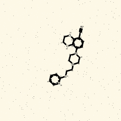 N#Cc1ccc(N2CCN(CCSc3ccccn3)CC2)c2c1OCCO2